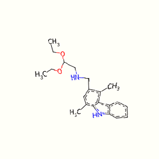 CCOC(CNCc1cc(C)c2[nH]c3ccccc3c2c1C)OCC